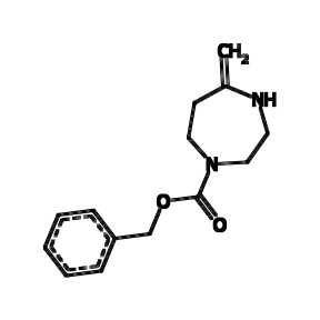 C=C1CCN(C(=O)OCc2ccccc2)CCN1